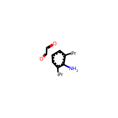 CC(C)c1cccc(C(C)C)c1N.O=CC=O